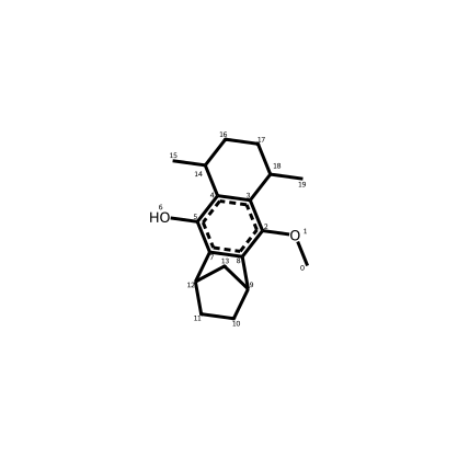 COc1c2c(c(O)c3c1C1CCC3C1)C(C)CCC2C